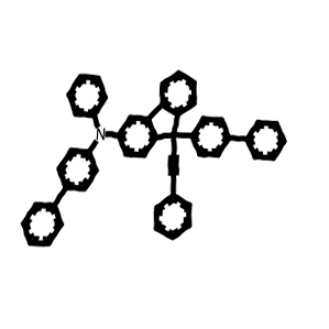 C(#CC1(c2ccc(-c3ccccc3)cc2)c2ccccc2-c2cc(N(c3ccccc3)c3ccc(-c4ccccc4)cc3)ccc21)c1ccccc1